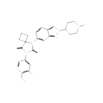 CC(=O)N1CCC(n2cc3ccc(N4C(=S)N(c5cnc(C#N)c(C(F)(F)F)c5)C(=O)C45CCC5)cc3n2)CC1